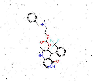 CC1=C(OC(=O)OCCN(C)Cc2ccccc2)C(c2ccccc2C(F)(F)F)c2c(cc[nH]c2=O)N1